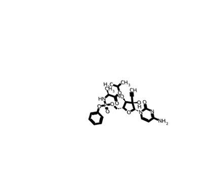 C#C[C@@]1(O)[C@H](O)[C@@H](COP(=O)(N[C@@H](C)C(=O)OC(C)C)Oc2ccccc2)O[C@H]1n1ccc(N)nc1=O